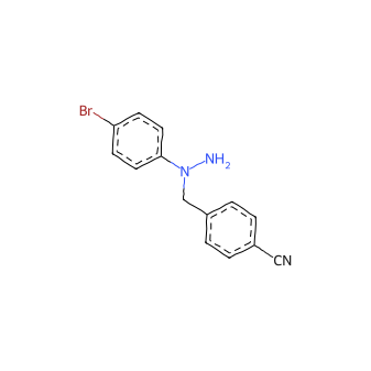 N#Cc1ccc(CN(N)c2ccc(Br)cc2)cc1